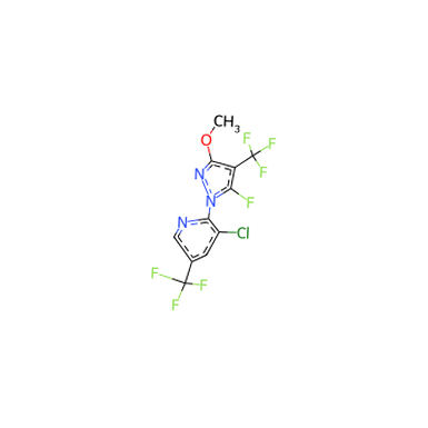 COc1nn(-c2ncc(C(F)(F)F)cc2Cl)c(F)c1C(F)(F)F